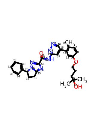 Cc1ccc(OCCCC(C)(C)O)cc1-c1cnnc(NC(=O)c2nc3n(n2)C(c2ccccc2)CC3)c1